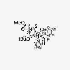 COC(=O)CNC(=S)N(NC(=O)OC(C)(C)C)[C@H](C)[C@](O)(Cn1cncn1)c1ccc(F)cc1F